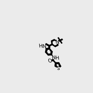 CC(C)(C)N1CCC(c2c[nH]c3ccc(NC(=O)c4ccsc4)cc23)CC1